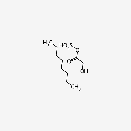 CCCCCCCC.O=C(CO)OS(=O)(=O)O